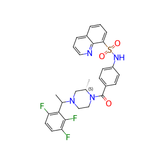 CC(c1c(F)ccc(F)c1F)N1CCN(C(=O)c2ccc(NS(=O)(=O)c3cccc4cccnc34)cc2)[C@@H](C)C1